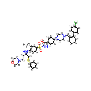 Cc1cc(S(=O)(=O)NC(=O)c2ccc(N3CCN(CC4=C(c5ccc(Cl)cc5)CCCC4)CC3)cc2)ccc1N[C@H](CCN1CCOCC1)CSc1ccccc1